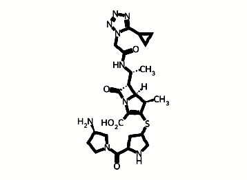 C[C@@H](NC(=O)Cn1nnnc1C1CC1)[C@H]1C(=O)N2C(C(=O)O)=C(SC3CNC(C(=O)N4CC[C@@H](N)C4)C3)[C@H](C)[C@H]12